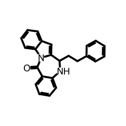 O=C1c2ccccc2NC(CCc2ccccc2)c2cc3ccccc3n21